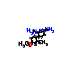 COc1ccc(-c2ccc(N)nc2N)c(C)c1